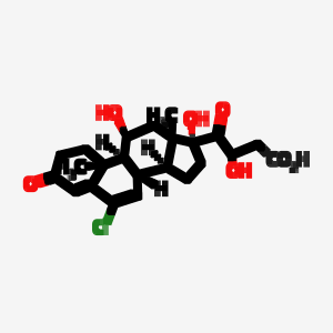 C[C@]12CCC(=O)C=C1C(Cl)=C[C@@H]1[C@@H]2[C@@H](O)C[C@@]2(C)[C@H]1CC[C@]2(O)C(=O)C(O)CC(=O)O